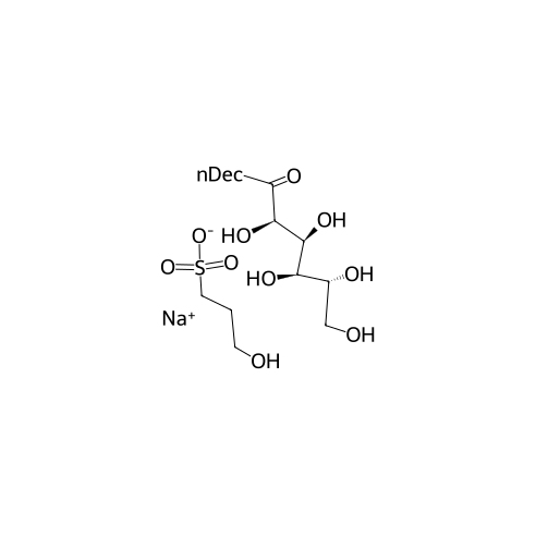 CCCCCCCCCCC(=O)[C@H](O)[C@@H](O)[C@H](O)[C@H](O)CO.O=S(=O)([O-])CCCO.[Na+]